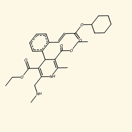 CCOC(=O)C1=C(C)NC(CNC)=C(C(=O)OCC)C1c1ccccc1/C=C/C(=O)OC1CCCCC1